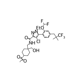 CCn1nc(C(=O)NCC2(CO)CCC(S(C)(=O)=O)CC2)c(Cl)c1-c1ccc(CC(C)(C)C(F)(F)F)cc1OC(F)F